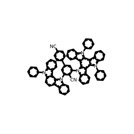 N#Cc1ccc(-c2cc(-n3c4ccccc4c4ccc5c(c6ccccc6n5-c5ccccc5)c43)c(C#N)c(-n3c4ccccc4c4c5c(c6ccccc6n5-c5ccccc5)c5c(c6ccccc6n5-c5ccccc5)c43)c2)cc1